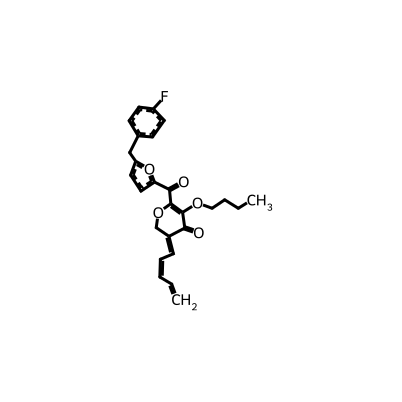 C=C/C=C\C=C1/COC(C(=O)c2ccc(Cc3ccc(F)cc3)o2)=C(OCCCC)C1=O